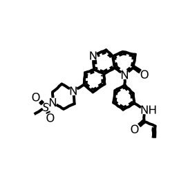 C=CC(=O)Nc1cccc(-n2c(=O)ccc3cnc4cc(N5CCN(S(C)(=O)=O)CC5)ccc4c32)c1